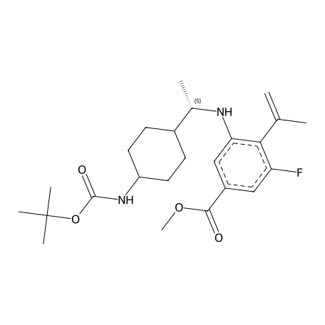 C=C(C)c1c(F)cc(C(=O)OC)cc1N[C@@H](C)C1CCC(NC(=O)OC(C)(C)C)CC1